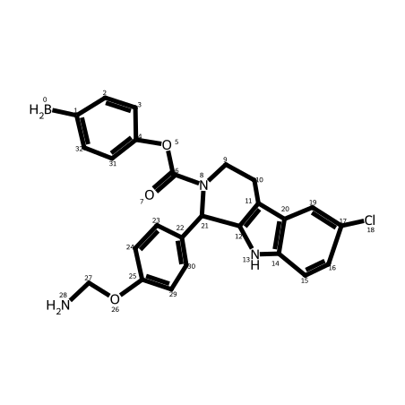 Bc1ccc(OC(=O)N2CCc3c([nH]c4ccc(Cl)cc34)C2c2ccc(OCN)cc2)cc1